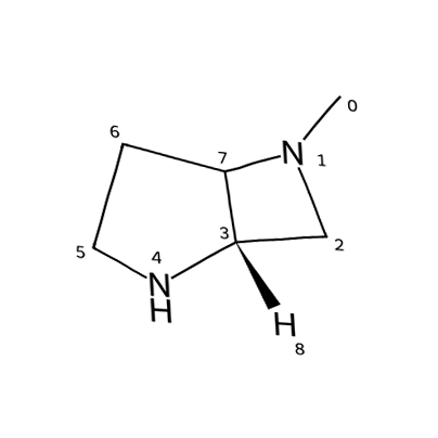 CN1C[C@@H]2NCCC21